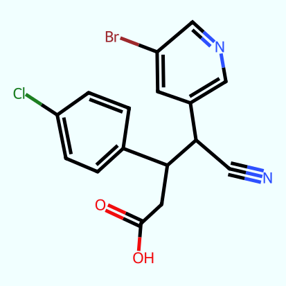 N#CC(c1cncc(Br)c1)C(CC(=O)O)c1ccc(Cl)cc1